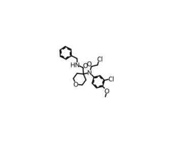 COc1ccc(N(C(=O)CCl)C2(C(=O)NCc3ccccc3)CCOCC2)cc1Cl